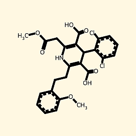 COC(=O)CC1=C(C(=O)O)C(c2c(Cl)cccc2Cl)C(C(=O)O)=C(CCc2ccccc2OC)N1